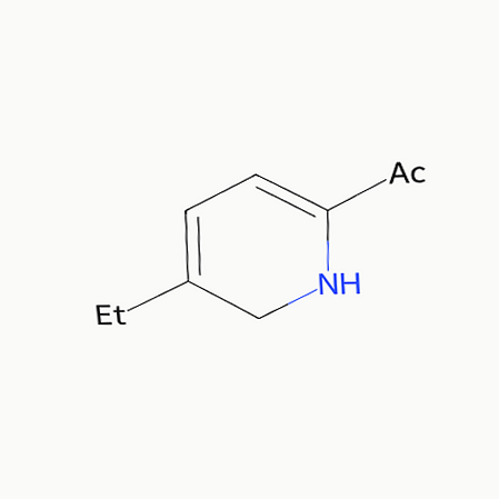 CCC1=CC=C(C(C)=O)NC1